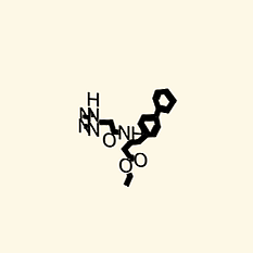 CCOC(=O)CC(Cc1ccc(-c2ccccc2)cc1)NC(=O)Cc1nnn[nH]1